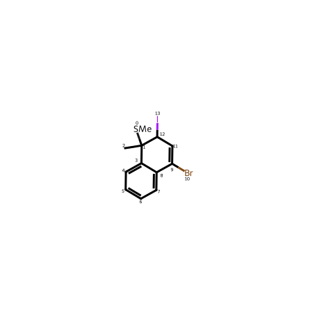 CSC1(C)c2ccccc2C(Br)=CC1I